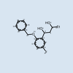 CCC(O)CC(O)c1cc(F)ccc1OCc1ccccc1